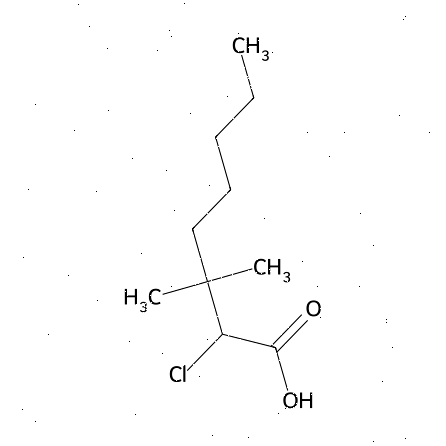 CCCCCC(C)(C)C(Cl)C(=O)O